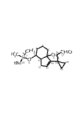 CC12CCCC(O[Si](C)(C)C(C)(C)C)C1CC=C2C1(CC=O)CC1